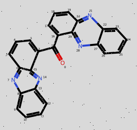 O=C(c1cccc2nc3ccccc3nc12)c1cccc2nc3ccccc3nc12